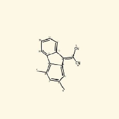 Cc1cc(C)c2c(c1)C(=C(C#N)C#N)c1ccccc1-2